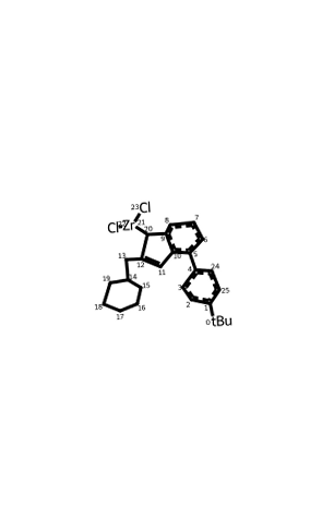 CC(C)(C)c1ccc(-c2cccc3c2C=C(CC2CCCCC2)[CH]3[Zr]([Cl])[Cl])cc1